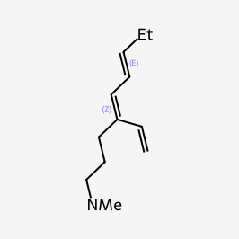 C=C/C(=C\C=C\CC)CCCNC